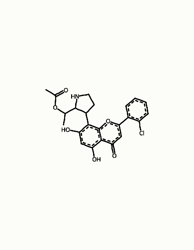 CC(=O)OC(C)C1NCCC1c1c(O)cc(O)c2c(=O)cc(-c3ccccc3Cl)oc12